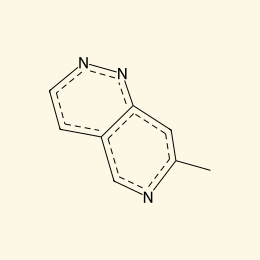 Cc1cc2nnccc2cn1